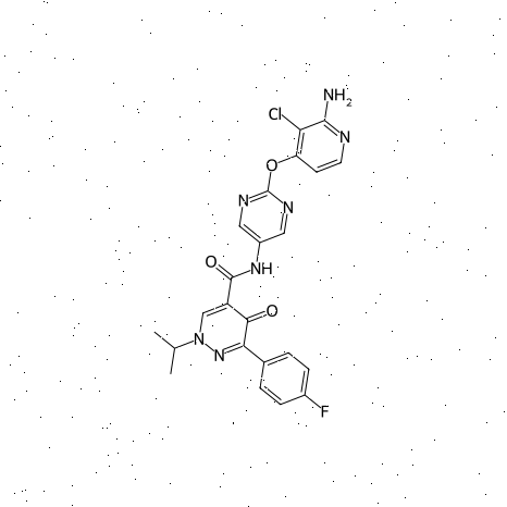 CC(C)n1cc(C(=O)Nc2cnc(Oc3ccnc(N)c3Cl)nc2)c(=O)c(-c2ccc(F)cc2)n1